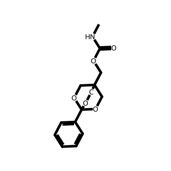 CNC(=O)OCC12COC(c3ccccc3)(OC1)OC2